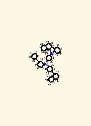 c1ccc(-c2cccc(N(c3ccc(-c4cccc5ccccc45)cc3)c3ccc(-n4c5ccccc5c5ccc6ccccc6c54)cc3)c2)cc1